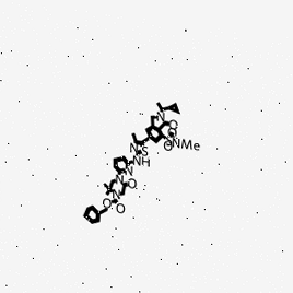 CNS(=O)(=O)c1cc(-c2sc(Nc3cccc(N4CC(C)(C)N(C(=O)OCc5ccccc5)CC4=O)n3)nc2C)cc2c1C(=O)N(C(C)C1CC1)C2